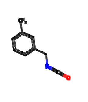 O=C=NCc1cccc(C(F)(F)F)c1